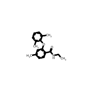 CCNC(=O)c1ccc(C)cc1Oc1c(C)cccc1C